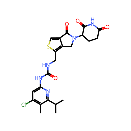 Cc1c(Cl)cc(NC(=O)NCc2scc3c2CN(C2CCC(=O)NC2=O)C3=O)nc1C(C)C